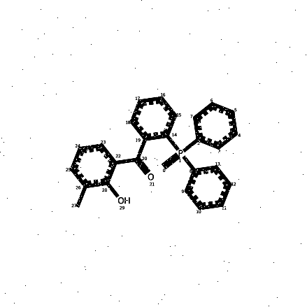 C=P(c1ccccc1)(c1ccccc1)c1ccccc1C(=O)c1cccc(C)c1O